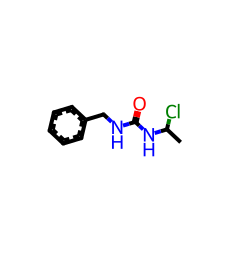 CC(Cl)NC(=O)NCc1ccccc1